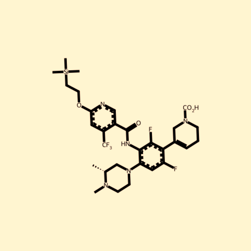 C[C@@H]1CN(c2cc(F)c(C3=CCCN(C(=O)O)C3)c(F)c2NC(=O)c2cnc(OCC[Si](C)(C)C)cc2C(F)(F)F)CCN1C